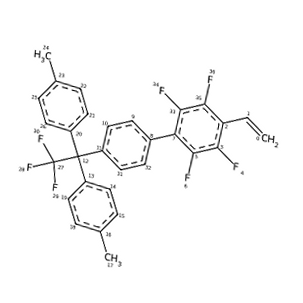 C=Cc1c(F)c(F)c(-c2ccc(C(c3ccc(C)cc3)(c3ccc(C)cc3)C(F)(F)F)cc2)c(F)c1F